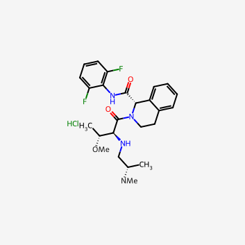 CN[C@@H](C)CN[C@H](C(=O)N1CCc2ccccc2[C@H]1C(=O)Nc1c(F)cccc1F)[C@@H](C)OC.Cl